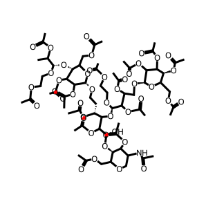 CC(=O)NC1COC(COC(C)=O)[C@@H](O[C@H](O)C(OC(C)=O)C(O[C@@H](OCCOC(C)=O)C(OC(C)=O)C(CO[C@@H]2OC(COC(C)=O)[C@H](OC(C)=O)C(OC(C)=O)C2OC(C)=O)OC(C)=O)[C@@H](CCO[C@H]2OC(COC(C)=O)[C@@H](O[C@H](OCCOC(C)=O)C(C)OC(C)=O)C(OC(C)=O)C2OC(C)=O)OC(C)=O)C1OC(C)=O